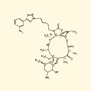 CC[C@H]1OC(=O)[C@H](C)C(=O)[C@H](C)[C@@H](O[C@@H]2O[C@H](C)CC(N)C2O)[C@](C)(OC)CC(C)N[C@H](C)[C@H]2N(CCCCn3cc(-c4cccc(N)c4)nn3)C(=O)O[C@]12C